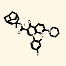 CC1(NC(=O)c2cn(-c3ccc(F)cc3F)c3nc(N4CCCCC4)ccc3c2=O)C=C2CC3CC(CC23)C1